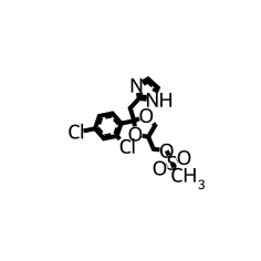 CS(=O)(=O)OCC1COC(Cc2ncc[nH]2)(c2ccc(Cl)cc2Cl)O1